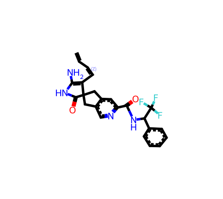 C=C/C=C\C1=C(N)NC(=O)C12Cc1cnc(C(=O)NC(c3ccccc3)C(F)(F)F)cc1C2